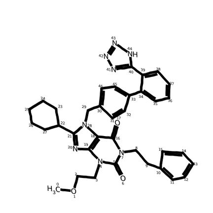 COCCn1c(=O)n(CCc2ccccc2)c(=O)c2c1nc(C1CCCCC1)n2Cc1ccc(-c2ccccc2-c2nnn[nH]2)cc1